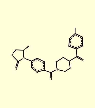 Cc1ccc(C(=O)C2CCN(C(=O)c3ccc(N4C(=O)OC[C@H]4C)cn3)CC2)cc1